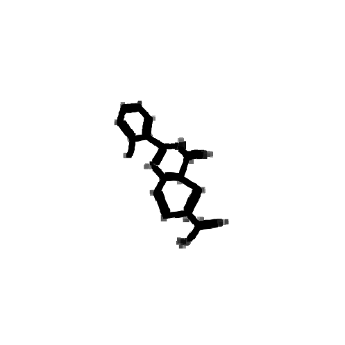 Cc1ccccc1-c1nc2ccc(C(=O)O)cc2c(=O)[nH]1